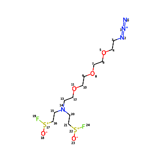 [N-]=[N+]=NCCOCCOCCOCCN(CC[S+]([O-])F)CC[S+]([O-])F